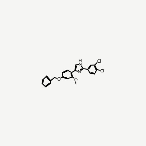 COc1cc(OCc2ccccc2)ccc1-c1c[nH]c(-c2ccc(Cl)c(Cl)c2)n1